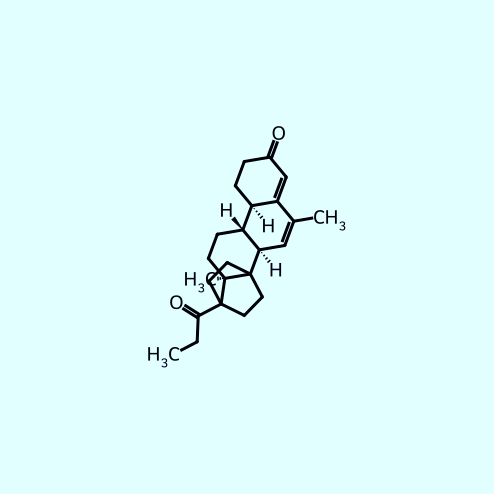 CCC(=O)C12CCC3(CC1)[C@@H]1C=C(C)C4=CC(=O)CC[C@@H]4[C@H]1CC[C@]23C